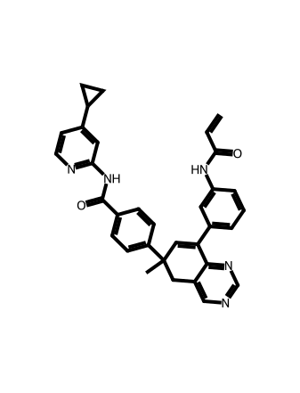 C=CC(=O)Nc1cccc(C2=CC(C)(c3ccc(C(=O)Nc4cc(C5CC5)ccn4)cc3)Cc3cncnc32)c1